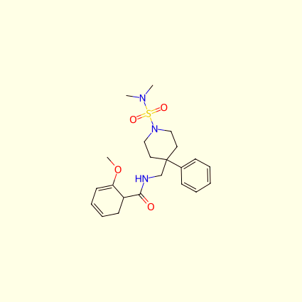 COC1=CC=CCC1C(=O)NCC1(c2ccccc2)CCN(S(=O)(=O)N(C)C)CC1